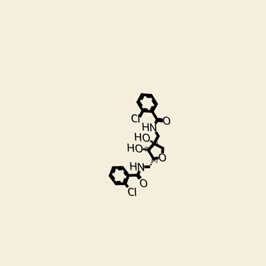 O=C(NC[C@H]1OC[C@@](O)(CNC(=O)c2ccccc2Cl)[C@@H]1O)c1ccccc1Cl